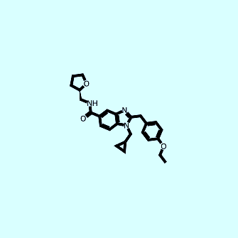 CCOc1ccc(Cc2nc3cc(C(=O)NC[C@H]4CCCO4)ccc3n2CC2CC2)cc1